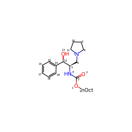 CCCCCCCCOC(=O)N[C@H](CN1CCCC1)[C@H](O)c1ccccc1